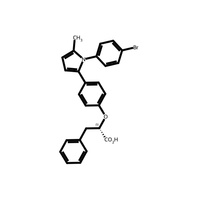 Cc1ccc(-c2ccc(O[C@@H](Cc3ccccc3)C(=O)O)cc2)n1-c1ccc(Br)cc1